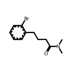 CN(C)C(=O)CCCc1ccccc1Br